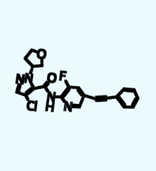 O=C(Nc1ncc(C#Cc2ccccc2)cc1F)c1c(Cl)cnn1[C@H]1CCOC1